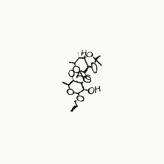 C=CCO[C@H]1OC(C)[C@H](OC(C)=O)C(O[C@@H]2OC(C)[C@H](C)[C@@H]3OC(C)(C)OC23)[C@H]1O